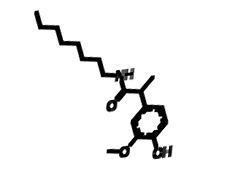 CCCCCCCCNC(=O)C(C)c1ccc(O)c(OC)c1